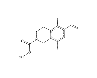 C=Cc1cc(C)c2c(c1C)CCN(C(=O)OC(C)(C)C)C2